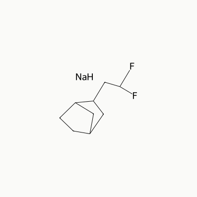 FC(F)CC1CC2CCC1C2.[NaH]